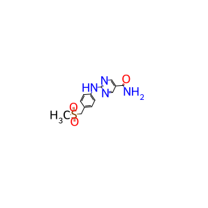 CS(=O)(=O)Cc1ccc(Nc2ncc(C(N)=O)cn2)cc1